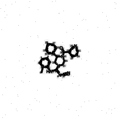 Cc1ccccc1N/C(=N/C#N)N1CCN(C(=O)c2cccnc2)C(c2ccccc2)C1